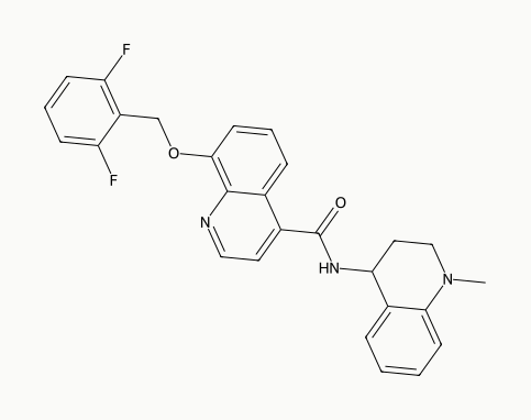 CN1CCC(NC(=O)c2ccnc3c(OCc4c(F)cccc4F)cccc23)c2ccccc21